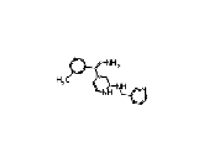 Cc1cccc(/C(=C/N)N2C=CNC(NCc3cccnc3)C2)c1